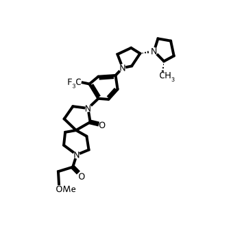 COCC(=O)N1CCC2(CC1)CCN(c1ccc(N3CC[C@H](N4CCC[C@@H]4C)C3)cc1C(F)(F)F)C2=O